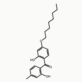 CCCCCCCCOc1ccc(C(=O)c2ccc(C)cc2O)c(O)c1